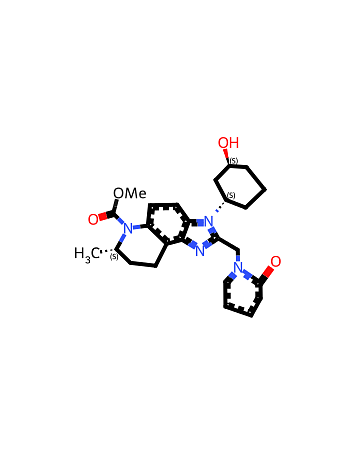 COC(=O)N1c2ccc3c(nc(Cn4ccccc4=O)n3[C@H]3CCC[C@H](O)C3)c2CC[C@@H]1C